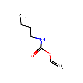 C=COC(=O)NCCCC